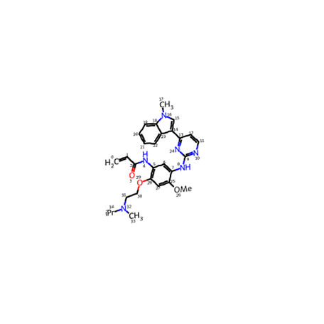 C=CC(=O)Nc1cc(Nc2nccc(-c3cn(C)c4ccccc34)n2)c(OC)cc1OCCN(C)C(C)C